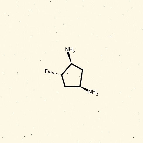 N[C@@H]1C[C@H](N)[C@@H](F)C1